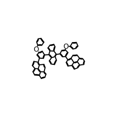 c1ccc(Oc2cc(-c3c4ccccc4c(-c4cc(Oc5ccccc5)cc(-c5ccc6ccc7cccc8ccc5c6c78)c4)c4ccccc34)cc(-c3ccc4ccc5cccc6ccc3c4c56)c2)cc1